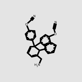 N#COc1ccc(C2(c3ccc(OC#N)cc3)C=CC=C(CN)C2c2ccccc2)cc1